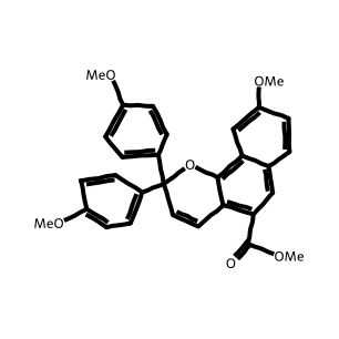 COC(=O)c1cc2ccc(OC)cc2c2c1C=CC(c1ccc(OC)cc1)(c1ccc(OC)cc1)O2